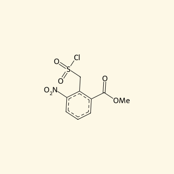 COC(=O)c1cccc([N+](=O)[O-])c1CS(=O)(=O)Cl